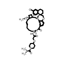 CO[C@H]1/C=C/CCC[S@@](=O)(NC(=O)COC2CCN(C(=O)N(C)C)CC2)=NC(=O)c2ccc3c(c2)N(C[C@@H]2CC[C@H]21)C[C@@]1(CCCc2cc(Cl)ccc21)CO3